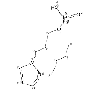 CCCC.O=[PH](O)OCCCn1cncn1